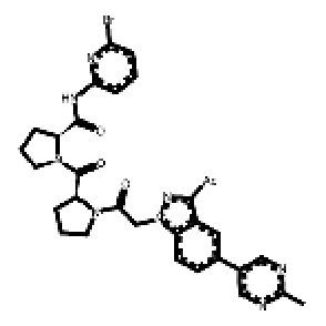 CC(=O)c1nn(CC(=O)N2CCC[C@H]2C(=O)N2CCC[C@H]2C(=O)Nc2cccc(Br)n2)c2ccc(-c3cnc(C)nc3)cc12